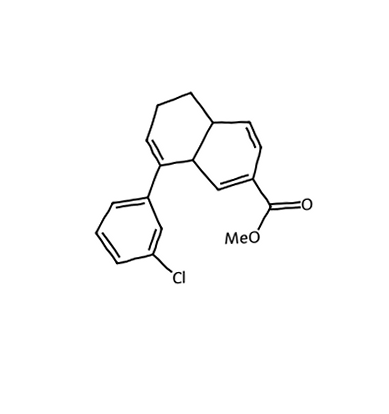 COC(=O)C1=CC2C(c3cccc(Cl)c3)=CCCC2C=C1